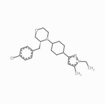 CCn1nc(C2CCC(N3CCOC[C@@H]3Cc3ccc(Cl)cc3)CC2)cc1C